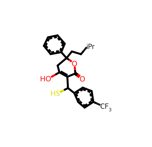 CC(C)CCC1(c2ccccc2)CC(O)=C(C(S)c2ccc(C(F)(F)F)cc2)C(=O)O1